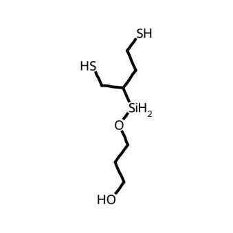 OCCCO[SiH2]C(CS)CCS